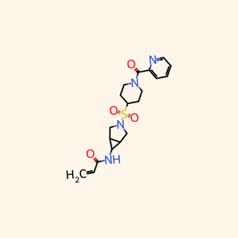 C=CC(=O)NC1C2CN(S(=O)(=O)C3CCN(C(=O)c4ccccn4)CC3)CC21